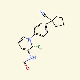 N#CC1(c2ccc(N3C=CC=C(NC=O)C3Cl)cc2)CCCC1